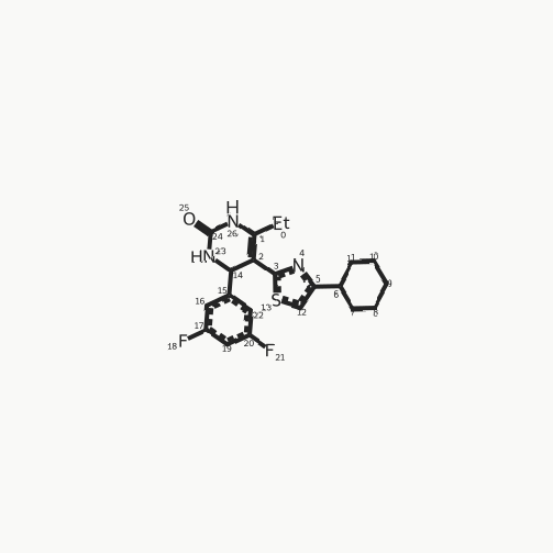 CCC1=C(c2nc(C3CCCCC3)cs2)C(c2cc(F)cc(F)c2)NC(=O)N1